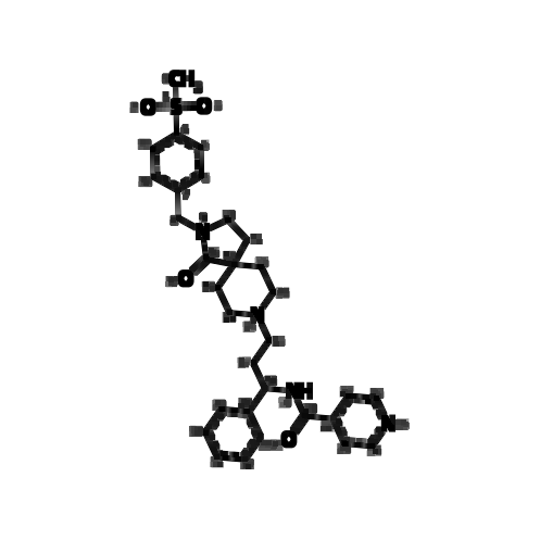 CS(=O)(=O)c1ccc(CN2CCC3(CCN(CCC(NC(=O)c4ccncc4)c4ccccc4)CC3)C2=O)cc1